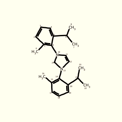 Cc1cccc(C(C)C)c1N1C=CN(c2c(C)cccc2C(C)C)C1